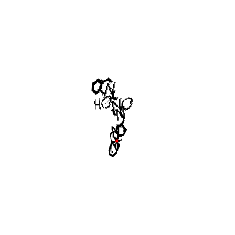 CC(=O)N1C2CCC1CC(c1ccc(CN3CCN(C[C@H](O)CN4CCc5ccccc5C4)C3=O)cn1)C2